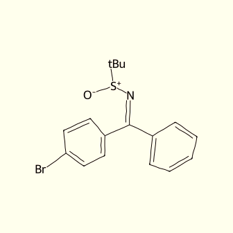 CC(C)(C)[S+]([O-])/N=C(/c1ccccc1)c1ccc(Br)cc1